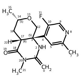 C=C1N[C@@]2(c3cc(C)ncc3F)CO[C@@H](C)C[C@H]2C(=O)N1C